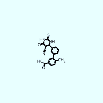 Cc1ccc(C(=O)O)cc1-c1cccc(-c2[nH]c(=S)[nH]c(=O)c2C#N)c1